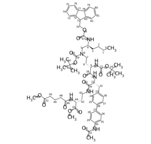 CCCC[C@@H](CN(CC[C@H](NC(=O)OC(C)(C)C)C(=O)N[C@H](Cc1ccc(-c2ccc(NC(C)=O)cc2)cc1)C(=O)NCC[C@@H](NC(=O)CCCC(=O)OC)C(=O)OC)C(=O)OC(C)(C)C)NC(=O)OCC1c2ccccc2-c2ccccc21